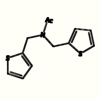 CC(=O)N(Cc1cccs1)Cc1cccs1